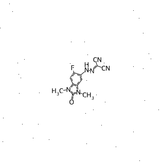 Cn1c(=O)n(C)c2cc(NN=C(C#N)C#N)c(F)cc21